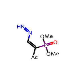 COP(=O)(OC)/C(=C\N=N)C(C)=O